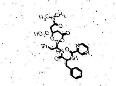 CC(C)CC(NC(=O)C(Cc1ccccc1)NC(=O)c1cnccn1)B1OC(=O)C[C@@](CC(=O)N(C)C)(C(=O)O)O1